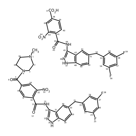 CN1CCN(C(=O)c2ccc(C(=O)Nc3n[nH]c4ccc(Cc5cc(F)cc(F)c5)cc34)c([N+](=O)[O-])c2)CC1.O=C(O)c1ccc(C(=O)Nc2n[nH]c3ccc(Cc4cc(F)cc(F)c4)cc23)c([N+](=O)[O-])c1